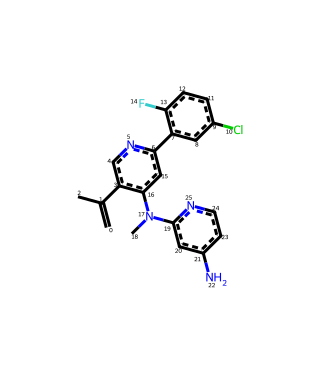 C=C(C)c1cnc(-c2cc(Cl)ccc2F)cc1N(C)c1cc(N)ccn1